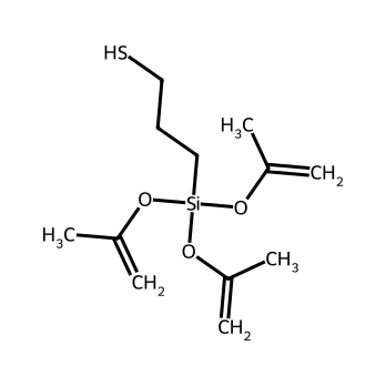 C=C(C)O[Si](CCCS)(OC(=C)C)OC(=C)C